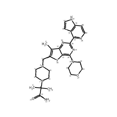 Cc1c(CN2CCN(C(C)(C)C(N)=O)CC2)sc2c(N3CCOCC3)nc(-c3nccc4[nH]ccc34)nc12